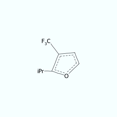 CC(C)c1occc1C(F)(F)F